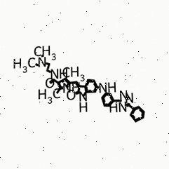 CCN(CC)CCNC(=O)c1c(C)[nH]c(/C=C2\C(=O)Nc3cc(Nc4cccc(-c5nnc(-c6ccccc6)[nH]5)c4)ccc32)c1C